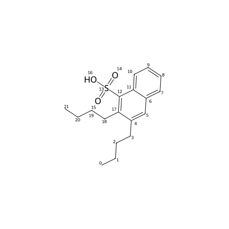 CCCCc1cc2ccccc2c(S(=O)(=O)O)c1CCCC